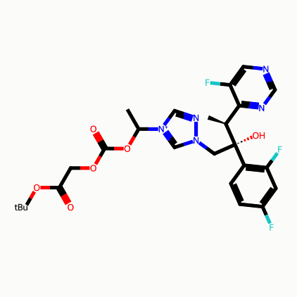 CC(OC(=O)OCC(=O)OC(C)(C)C)[n+]1cnn(C[C@](O)(c2ccc(F)cc2F)[C@@H](C)c2ncncc2F)c1